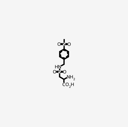 CS(=O)(=O)c1ccc(CNS(=O)(=O)CC(N)C(=O)O)cc1